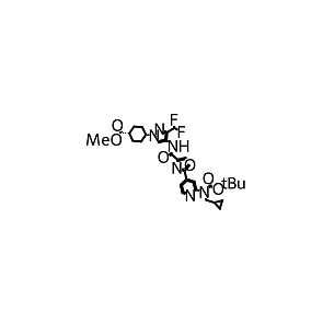 COC(=O)[C@H]1CC[C@H](n2cc(NC(=O)c3coc(-c4ccnc(N(CC5CC5)C(=O)OC(C)(C)C)c4)n3)c(C(F)F)n2)CC1